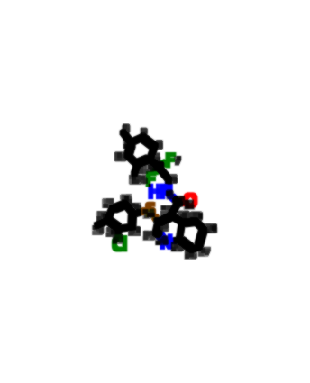 Cc1ccc(C(F)(F)CNC(=O)c2c(Sc3ccc(C)c(Cl)c3)cnc3ccccc23)c(C)c1